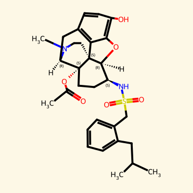 CC(=O)O[C@@]12CC[C@H](NS(=O)(=O)Cc3ccccc3CC(C)C)[C@@H]3Oc4c(O)ccc5c4[C@@]31CCN(C)[C@@H]2C5